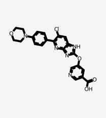 O=C(O)c1cncc(Oc2nc3nc(-c4ccc(N5CCOCC5)cc4)c(Cl)cc3[nH]2)c1